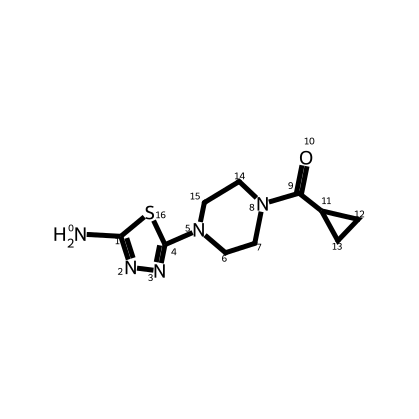 Nc1nnc(N2CCN(C(=O)C3CC3)CC2)s1